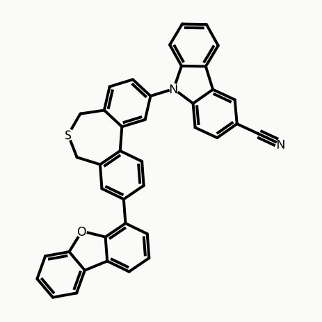 N#Cc1ccc2c(c1)c1ccccc1n2-c1ccc2c(c1)-c1ccc(-c3cccc4c3oc3ccccc34)cc1CSC2